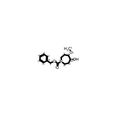 CO[C@H]1CCN(C(=O)OCc2ccccc2)CC[C@@H]1O